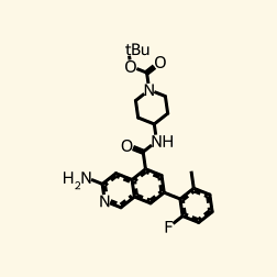 Cc1cccc(F)c1-c1cc(C(=O)NC2CCN(C(=O)OC(C)(C)C)CC2)c2cc(N)ncc2c1